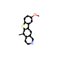 COc1ccc2sc3c(C)c4ccncc4cc3c2c1